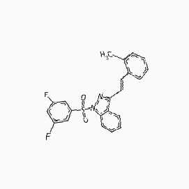 Cc1ccccc1C=Cc1nn(S(=O)(=O)c2cc(F)cc(F)c2)c2ccccc12